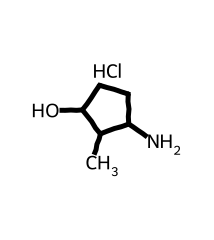 CC1C(N)CCC1O.Cl